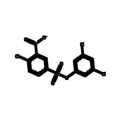 O=[N+]([O-])c1cc(S(=O)(=O)Oc2cc(Cl)cc(Cl)c2)ccc1Cl